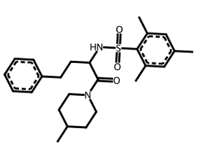 Cc1cc(C)c(S(=O)(=O)NC(CCc2ccccc2)C(=O)N2CCC(C)CC2)c(C)c1